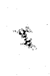 CCn1nc(N=NC2=C(O)OC(C)(C)OC2=O)nc1C(=O)N(C)C